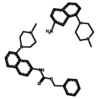 CN1CCN(c2cccc3ccc(N)cc23)CC1.CN1CCN(c2cccc3ccc(NC(=O)OCc4ccccc4)cc23)CC1